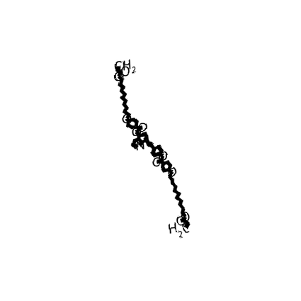 C=CC(=O)OCCCCCCCCCCCOC1CCC(C(=O)Oc2ccc(C#Cc3ccc(OC(=O)C4CCC(OCCCCCCCCCCCOC(=O)C=C)CC4)c4cccnc34)cc2)CC1